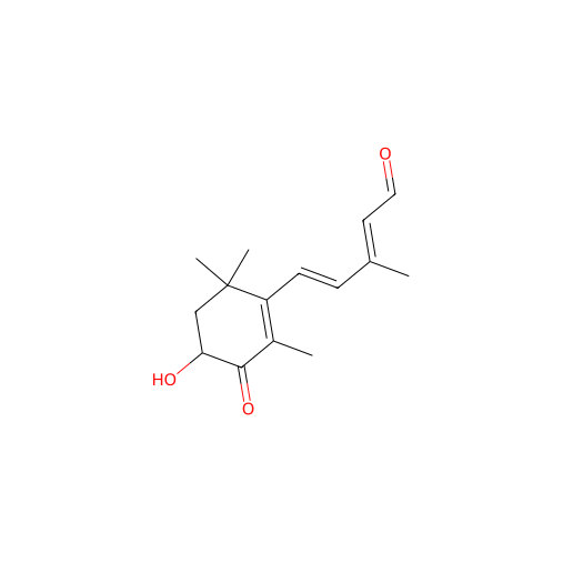 CC(C=CC1=C(C)C(=O)C(O)CC1(C)C)=CC=O